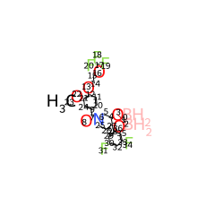 BC1(B)OC2CN(C(=O)c3ccc(OCCOC(F)(F)F)c(OC)c3)CCC2(c2cc(F)cc(F)c2)O1